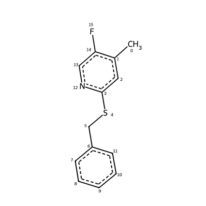 Cc1cc(SCc2ccccc2)ncc1F